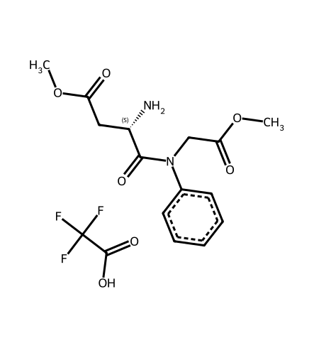 COC(=O)C[C@H](N)C(=O)N(CC(=O)OC)c1ccccc1.O=C(O)C(F)(F)F